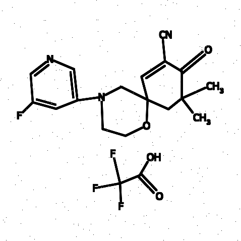 CC1(C)CC2(C=C(C#N)C1=O)CN(c1cncc(F)c1)CCO2.O=C(O)C(F)(F)F